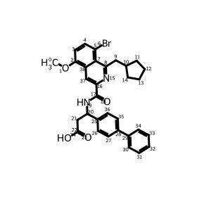 COc1ccc(Br)c2c(CC3CCCC3)nc(C(=O)NC(CC(=O)O)c3ccc(-c4ccccc4)cc3)cc12